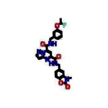 CC(F)Oc1cccc(CNC(=O)c2cc(C(=O)NCc3ccc4oc(=O)n(C)c4c3)nc3ccnn23)c1